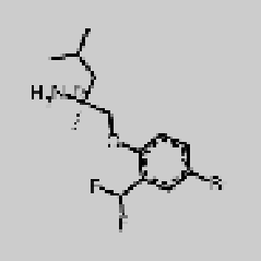 CC(C)C[C@](C)(N)COc1ccc(Br)cc1C(F)F